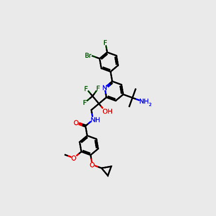 COc1cc(C(=O)NCC(O)(c2cc(C(C)(C)N)cc(-c3ccc(F)c(Br)c3)n2)C(F)(F)F)ccc1OC1CC1